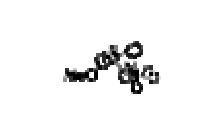 COc1ccn2nc(-c3ccccc3)c(-c3ccc(=O)n(C4CCOC4)n3)c2c1